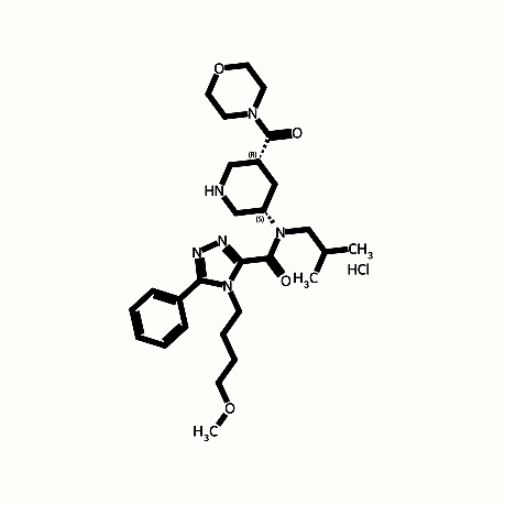 COCCCCn1c(C(=O)N(CC(C)C)[C@@H]2CNC[C@H](C(=O)N3CCOCC3)C2)nnc1-c1ccccc1.Cl